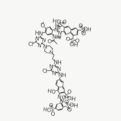 COc1cc(NNc2cc3c(S(=O)(=O)O)cc(S(=O)(=O)O)cc3cc2S(=O)(=O)O)c(NC(C)=O)cc1Nc1nc(Cl)nc(N2CCN(CCNc3nc(Cl)nc(Nc4ccc5c(O)c(/N=N/c6cc(S(=O)(=O)O)ccc6S(=O)(=O)O)c(S(=O)(=O)O)cc5c4)n3)CC2)n1